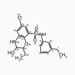 CCc1cccc(NS(=O)(=O)c2cc(Cl)cc3c2OC(CC)C(O)N3)c1